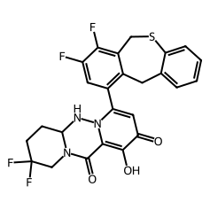 O=C1c2c(O)c(=O)cc(-c3cc(F)c(F)c4c3Cc3ccccc3SC4)n2NC2CCC(F)(F)CN12